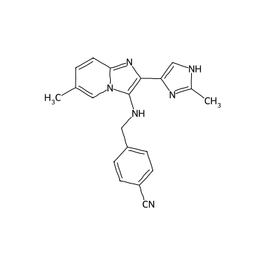 Cc1ccc2nc(-c3c[nH]c(C)n3)c(NCc3ccc(C#N)cc3)n2c1